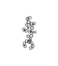 COc1cc(NC(=O)c2ccc3c(c2)C2(OC3=O)c3ccc(OC(C)=O)cc3Oc3cc(OC(C)=O)ccc32)ccc1N(CC(=O)OCOC(C)=O)CC(=O)OCOC(C)=O